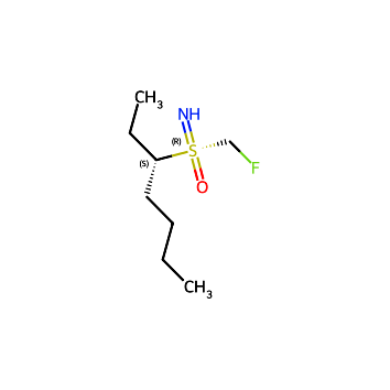 CCCC[C@H](CC)[S@@](=N)(=O)CF